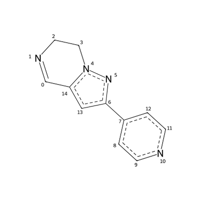 C1=NCCn2nc(-c3ccncc3)cc21